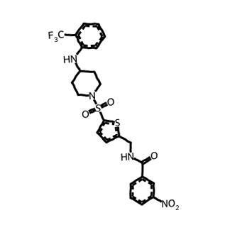 O=C(NCc1ccc(S(=O)(=O)N2CCC(Nc3ccccc3C(F)(F)F)CC2)s1)c1cccc([N+](=O)[O-])c1